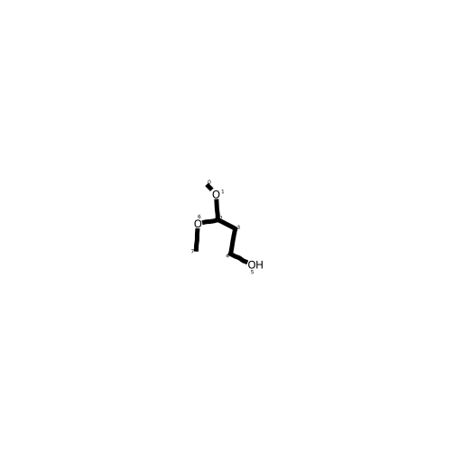 COC(CCO)OC